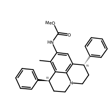 COC(=O)Nc1cc2c3c(c1C)[C@H](c1ccccc1)CCN3CC[C@H]2c1ccccc1